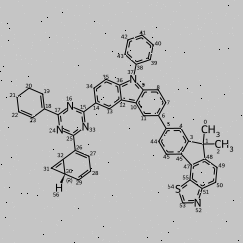 CC1(C)c2cc(-c3ccc4c(c3)c3cc(-c5nc(C6=CCCC=C6)nc(C6=CC=C[C@@H]7C=C67)n5)ccc3n4-c3ccccc3)ccc2-c2c1ccc1ncsc21